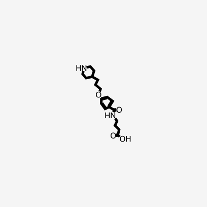 O=C(O)CCCNC(=O)c1ccc(OCCCC2CCNCC2)cc1